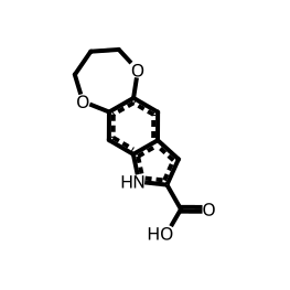 O=C(O)c1cc2cc3c(cc2[nH]1)OCCCO3